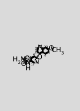 COc1ccc2c(Oc3ccc(NS(N)(=O)=O)cn3)ccnc2c1